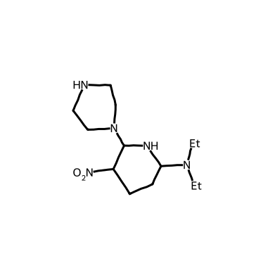 CCN(CC)C1CCC([N+](=O)[O-])C(N2CCNCC2)N1